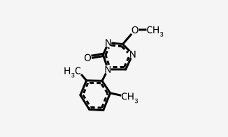 COc1ncn(-c2c(C)cccc2C)c(=O)n1